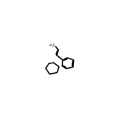 C1CCCCC1.CC=Cc1ccccc1